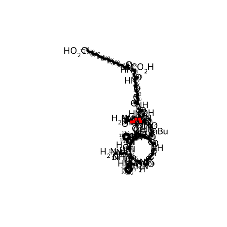 CCCC[C@H](NC(=O)[C@H](CN)NC(=O)[C@H](Cc1c[nH]cn1)NC(=O)[C@H](CCC(N)=O)NC(=O)[C@H](CO)NC(=O)CNC(=O)COCCOCCNC(=O)CC[C@H](NC(=O)CCCCCCCCCCCCCCCCC(=O)O)C(=O)O)C(=O)N[C@H]1CCC(=O)NCCCC[C@@H](C(N)=O)NC(=O)[C@H](Cc2c[nH]c3ccccc23)NC(=O)[C@H](CCCNC(=N)N)NC(=O)[C@@H](Cc2ccccc2)NC(=O)[C@@H]2C[C@@H](O)CN2C1=O